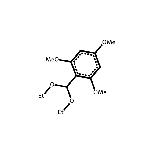 CCOC(OCC)c1c(OC)cc(OC)cc1OC